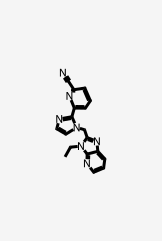 CCn1c(Cn2ccnc2-c2cccc(C#N)n2)nc2cccnc21